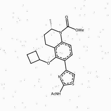 COC(=O)N1c2ccc(-c3csc(NC(C)=O)n3)c(OC3CCC3)c2CC[C@@H]1C